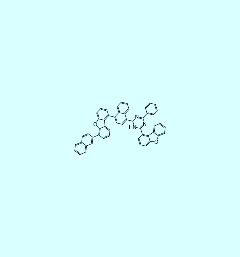 c1ccc(C2=NC(c3ccc(-c4cccc5oc6c(-c7ccc8ccccc8c7)cccc6c45)c4ccccc34)NC(c3cccc4oc5ccccc5c34)=N2)cc1